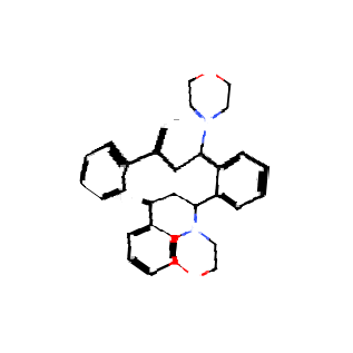 C=C(CC(c1ccccc1C(CC(=C)c1ccccc1)N1CCOCC1)N1CCOCC1)c1ccccc1